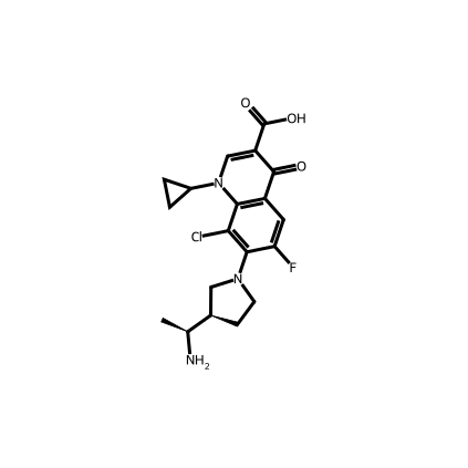 C[C@H](N)[C@@H]1CCN(c2c(F)cc3c(=O)c(C(=O)O)cn(C4CC4)c3c2Cl)C1